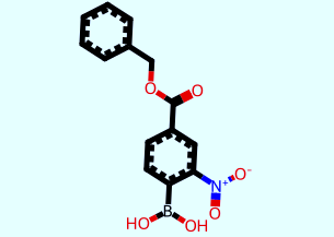 O=C(OCc1ccccc1)c1ccc(B(O)O)c([N+](=O)[O-])c1